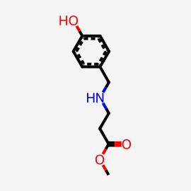 COC(=O)CCNCc1ccc(O)cc1